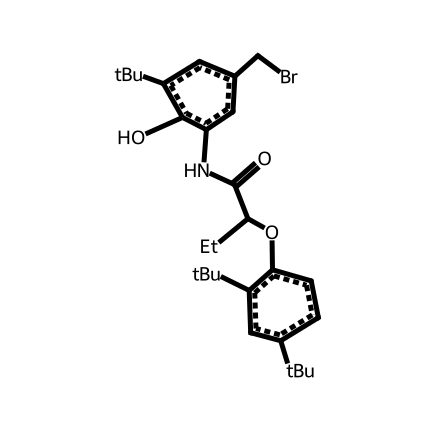 CCC(Oc1ccc(C(C)(C)C)cc1C(C)(C)C)C(=O)Nc1cc(CBr)cc(C(C)(C)C)c1O